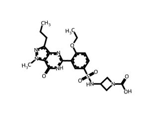 CCCc1nn(C)c2c(=O)[nH]c(-c3cc(S(=O)(=O)NC4CN(C(=O)O)C4)ccc3OCC)nc12